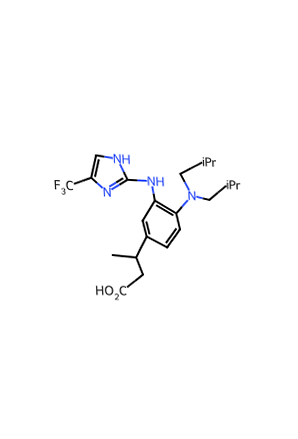 CC(C)CN(CC(C)C)c1ccc(C(C)CC(=O)O)cc1Nc1nc(C(F)(F)F)c[nH]1